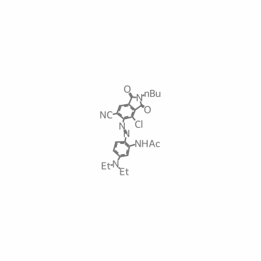 CCCCN1C(=O)c2cc(C#N)c(N=Nc3ccc(N(CC)CC)cc3NC(C)=O)c(Cl)c2C1=O